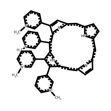 C[n+]1cccc(C2=Cc3cc4ccc(cc5nc(cc6[nH]c(c(-c7ccc[n+](C)c7)c2n3)c(-c2ccc[n+](C)c2)c6-c2ccc[n+](C)c2)C=C5)[nH]4)c1